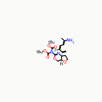 C=C(/C(F)=C\C=C(/C)N)[C@]12CCO[C@H]1COC(N(C(=O)OC(C)(C)C)C(=O)OC(C)(C)C)=N2